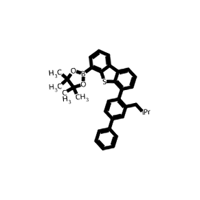 CC(C)Cc1cc(-c2ccccc2)ccc1-c1cccc2c1sc1c(B3OC(C)(C)C(C)(C)O3)cccc12